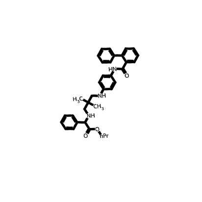 CCCOC(=O)C(NCC(C)(C)CNc1ccc(NC(=O)c2ccccc2-c2ccccc2)cc1)c1ccccc1